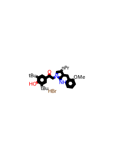 Br.CCCC1CN(CC(=O)c2cc(C(C)(C)C)c(O)c(C(C)(C)C)c2)C(=N)C1Cc1ccccc1OC